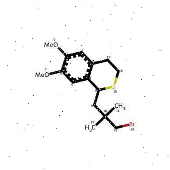 COc1cc2c(cc1OC)C(CC(C)(C)CBr)SCC2